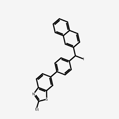 CCc1nc2ccc(-c3ccc(C(I)c4ccc5ccccc5c4)cc3)cc2s1